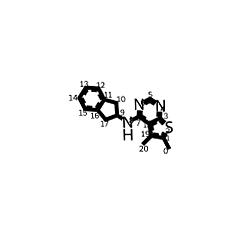 Cc1sc2ncnc(NC3Cc4ccccc4C3)c2c1C